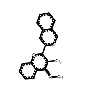 Cc1c(-c2cc3ccccc3cn2)oc2ccccc2/c1=N/O